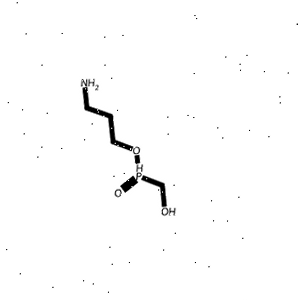 NCCCO[PH](=O)CO